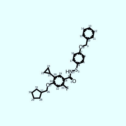 O=C(NSc1ccc(OCc2ccccc2)cc1)c1cc(C2CC2)c(OCC2CCCC2)cc1F